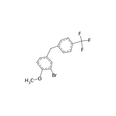 COc1ccc(Cc2ccc(C(F)(F)F)cc2)cc1Br